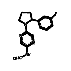 O=CNc1cnc(N2CCCC2c2cccc(F)c2)cn1